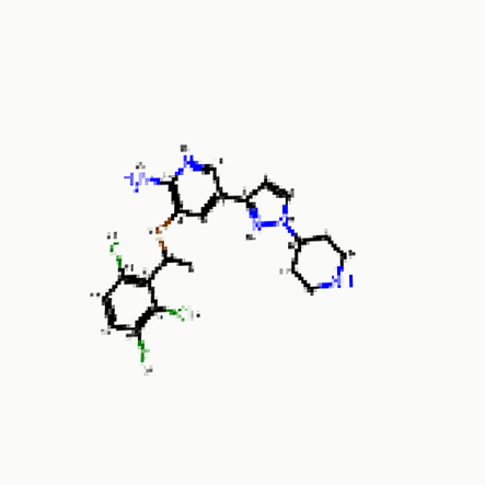 CC(Sc1cc(-c2ccn(C3CCNCC3)n2)cnc1N)c1c(Cl)ccc(F)c1Cl